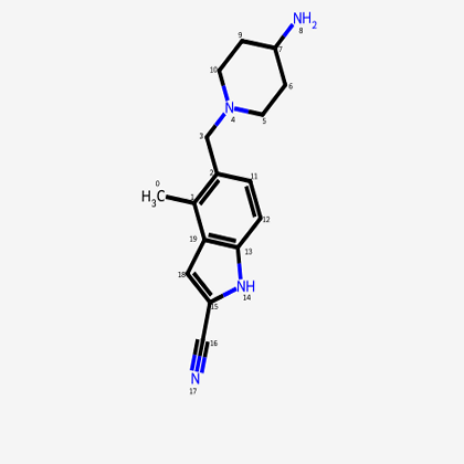 Cc1c(CN2CCC(N)CC2)ccc2[nH]c(C#N)cc12